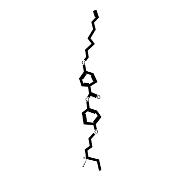 C=CCCCCCCOc1ccc(C(=O)Oc2ccc(OCCC[C@@H](C)CC)cc2)cc1